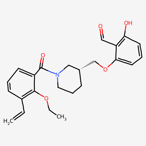 C=Cc1cccc(C(=O)N2CCC[C@@H](COc3cccc(O)c3C=O)C2)c1OCC